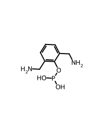 NCc1cccc(CN)c1OP(O)O